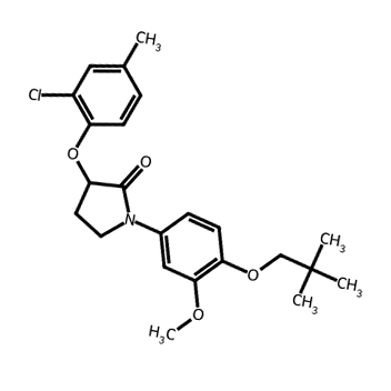 COc1cc(N2CCC(Oc3ccc(C)cc3Cl)C2=O)ccc1OCC(C)(C)C